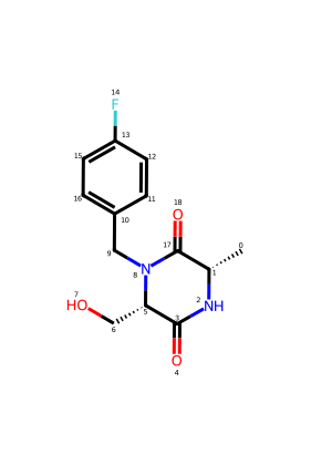 C[C@@H]1NC(=O)[C@H](CO)N(Cc2ccc(F)cc2)C1=O